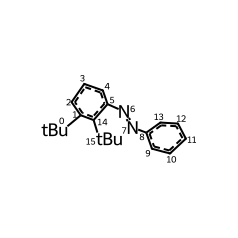 CC(C)(C)c1cccc(N=Nc2ccccc2)c1C(C)(C)C